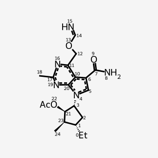 CC[C@H]1C[C@@H](n2cc(C(N)=O)c3c(COC=N)nc(C)nc32)[C@H](OC(C)=O)[C@@H]1C